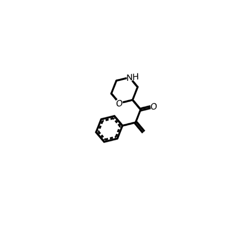 C=C(C(=O)C1CNCCO1)c1ccccc1